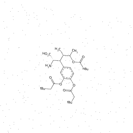 CCCCC(=O)OC(C)C(C)C(c1ccc(OC(=O)CC(C)(C)C)c(OC(=O)CC(C)(C)C)c1)[C@H](N)C(=O)O